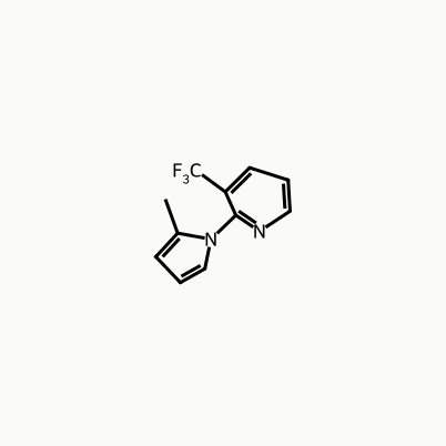 Cc1cccn1-c1ncccc1C(F)(F)F